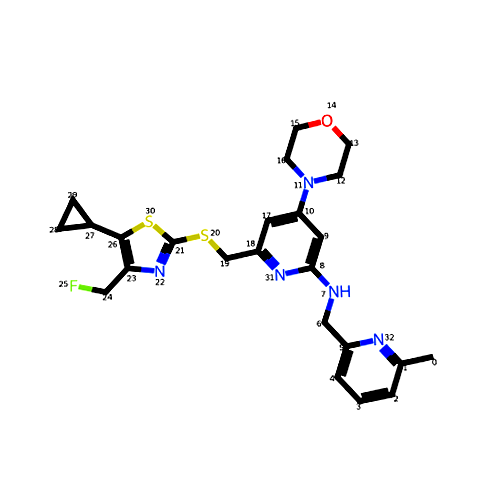 Cc1cccc(CNc2cc(N3CCOCC3)cc(CSc3nc(CF)c(C4CC4)s3)n2)n1